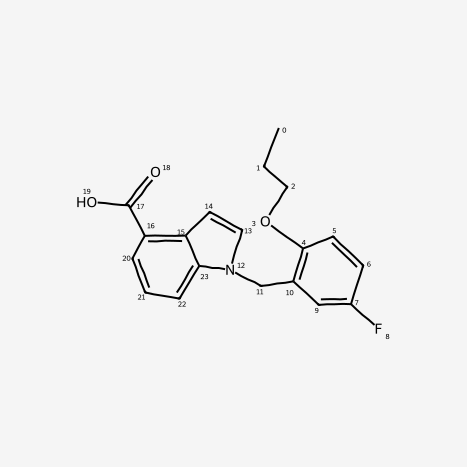 CCCOc1ccc(F)cc1Cn1ccc2c(C(=O)O)cccc21